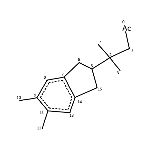 CC(=O)CC(C)(C)C1Cc2cc(C)c(C)cc2C1